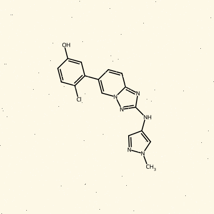 Cn1cc(Nc2nc3ccc(-c4cc(O)ccc4Cl)cn3n2)cn1